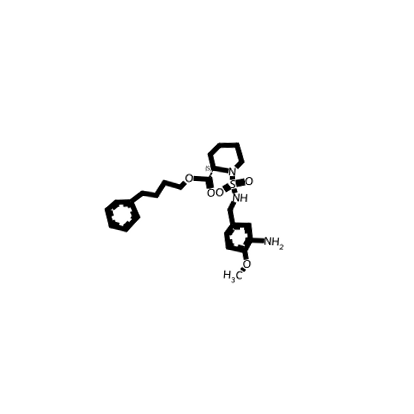 COc1ccc(CNS(=O)(=O)N2CCCC[C@H]2C(=O)OCCCCc2ccccc2)cc1N